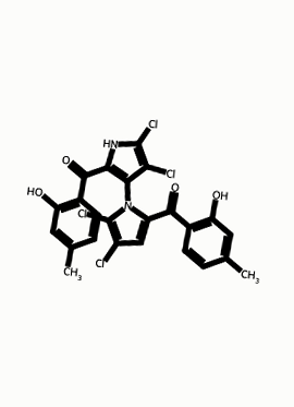 Cc1ccc(C(=O)c2[nH]c(Cl)c(Cl)c2-n2c(C(=O)c3ccc(C)cc3O)cc(Cl)c2Cl)c(O)c1